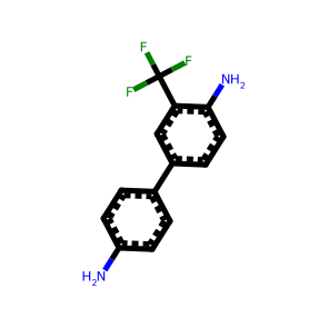 Nc1ccc(-c2ccc(N)c(C(F)(F)F)c2)cc1